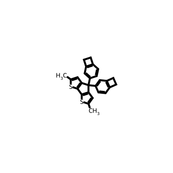 Cc1cc2c(s1)-c1sc(C)cc1C2(c1ccc2c(c1)CC2)c1ccc2c(c1)CC2